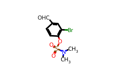 CN(C)S(=O)(=O)Oc1ccc(C=O)cc1Br